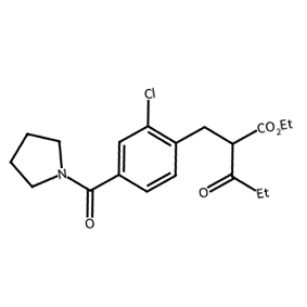 CCOC(=O)C(Cc1ccc(C(=O)N2CCCC2)cc1Cl)C(=O)CC